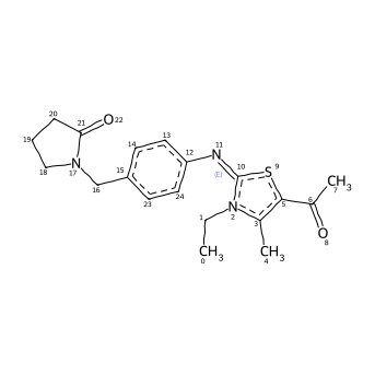 CCn1c(C)c(C(C)=O)s/c1=N/c1ccc(CN2CCCC2=O)cc1